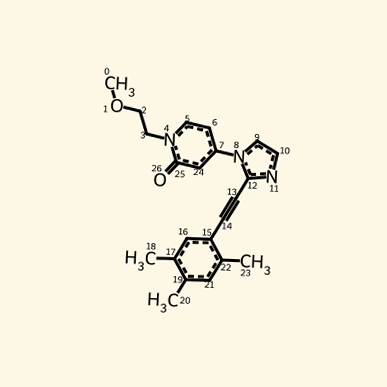 COCCn1ccc(-n2ccnc2C#Cc2cc(C)c(C)cc2C)cc1=O